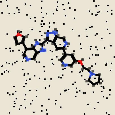 c1cc(-c2cncc3[nH]c(-c4n[nH]c5cnc(-c6cncc(OCCN7CCCC7)c6)cc45)nc23)co1